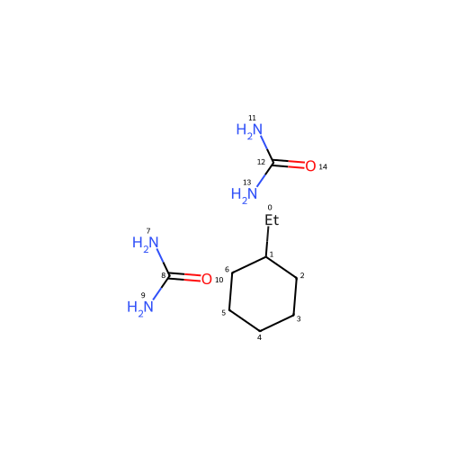 CCC1CCCCC1.NC(N)=O.NC(N)=O